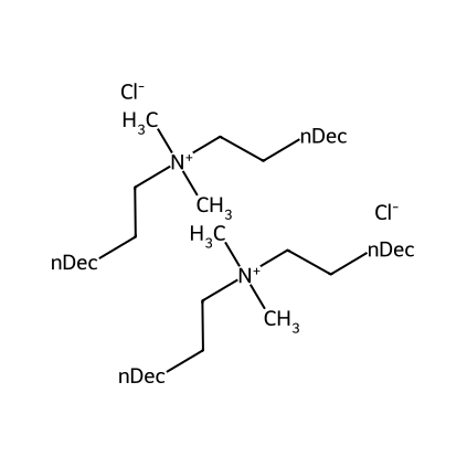 CCCCCCCCCCCC[N+](C)(C)CCCCCCCCCCCC.CCCCCCCCCCCC[N+](C)(C)CCCCCCCCCCCC.[Cl-].[Cl-]